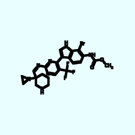 COC(=O)Nc1ccc2c(-c3nc(/N=C\C4(N5CC5)CCCNC4)ncc3C(F)(F)F)c[nH]c2c1Br